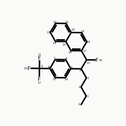 CCCCC(c1ccc(C(F)(F)F)cc1)C(F)c1ccc2ccccc2c1